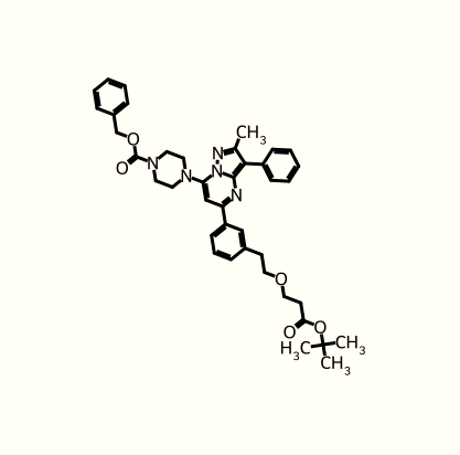 Cc1nn2c(N3CCN(C(=O)OCc4ccccc4)CC3)cc(-c3cccc(CCOCCC(=O)OC(C)(C)C)c3)nc2c1-c1ccccc1